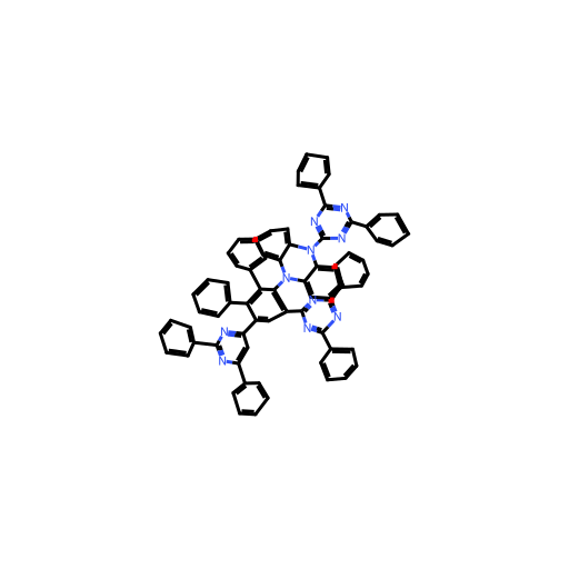 c1ccc(-c2cc(-c3cc(-c4nc(-c5ccccc5)nc(-c5ccccc5)n4)c(N4c5ccccc5N(c5nc(-c6ccccc6)nc(-c6ccccc6)n5)c5ccccc54)c(-c4ccccc4)c3-c3ccccc3)nc(-c3ccccc3)n2)cc1